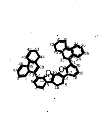 C1=CC2C(C3=CC=CC4C5=C(OC34)C3=C(CC5)C4C=CC=C(C5=c6ccccc6=C6C=CCCC6C5)C4O3)=CC3=C(C=CCC3)C2C=C1